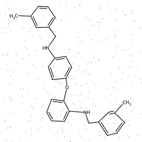 Cc1cccc(CNc2ccc(Oc3ccccc3NCc3cccc(C)c3)cc2)c1